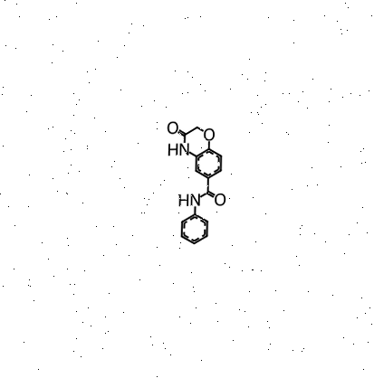 O=C1COc2ccc(C(=O)Nc3ccccc3)cc2N1